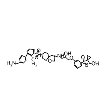 Cc1c(-c2ccc(CN)cc2)cccc1S(=O)(=O)N1CCC2(CC1)C[C@@H](NCC(O)COc1cccc(S(=O)(=O)C3(CO)CC3)c1)CO2